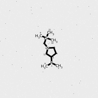 CN(C)C1CCN(CS(C)(C)C)C1